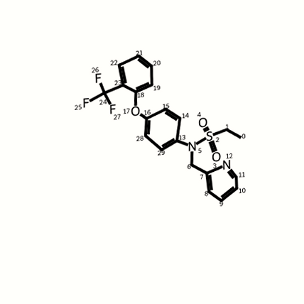 CCS(=O)(=O)N(Cc1ccccn1)c1ccc(Oc2ccccc2C(F)(F)F)cc1